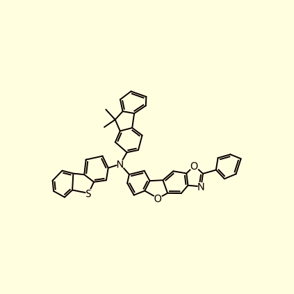 CC1(C)c2ccccc2-c2ccc(N(c3ccc4c(c3)sc3ccccc34)c3ccc4oc5cc6nc(-c7ccccc7)oc6cc5c4c3)cc21